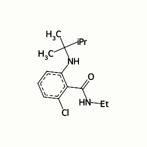 CCNC(=O)c1c(Cl)cccc1NC(C)(C)C(C)C